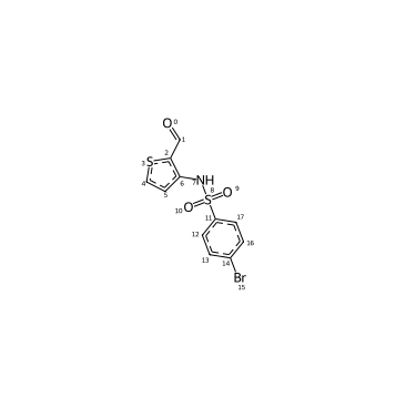 O=Cc1sccc1NS(=O)(=O)c1ccc(Br)cc1